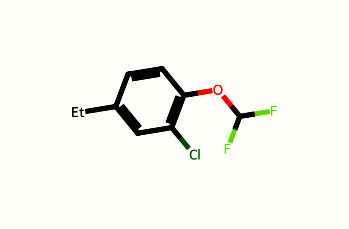 [CH2]Cc1ccc(OC(F)F)c(Cl)c1